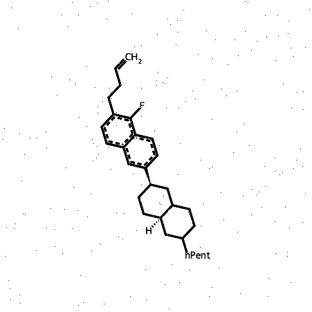 C=CCCc1ccc2cc([C@@H]3CC[C@@H]4CC(CCCCC)CCC4C3)ccc2c1F